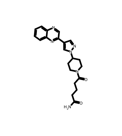 NC(=O)CCCC(=O)N1CCC(n2cc(-c3cnc4ccccc4n3)cn2)CC1